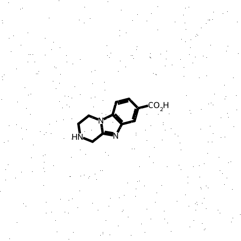 O=C(O)c1ccc2c(c1)nc1n2CCNC1